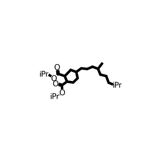 CC(C)CCCC(C)CCCC1CCC(C(=O)OC(C)C)C(C(=O)OC(C)C)C1